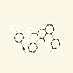 Cc1cc(-c2cccc3nc([C@H](C)Nc4cc(N)ccc4C#N)n(-c4ccccc4)c(=O)c23)ccn1